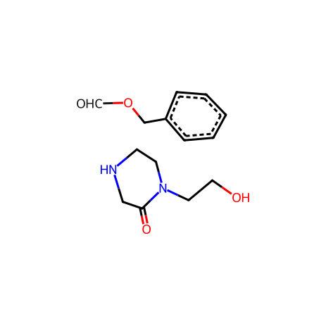 O=C1CNCCN1CCO.O=COCc1ccccc1